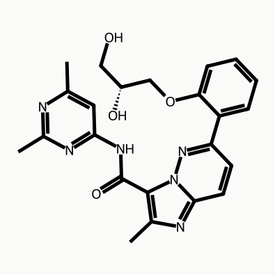 Cc1cc(NC(=O)c2c(C)nc3ccc(-c4ccccc4OC[C@H](O)CO)nn23)nc(C)n1